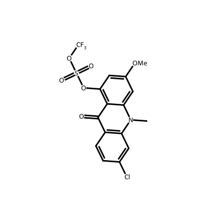 COc1cc(OS(=O)(=O)OC(F)(F)F)c2c(=O)c3ccc(Cl)cc3n(C)c2c1